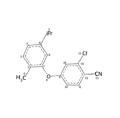 Cc1ccc(C(C)C)cc1Oc1ccc(C#N)c(Cl)c1